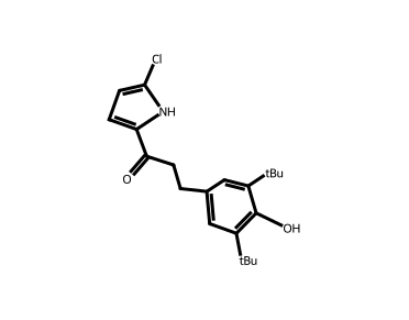 CC(C)(C)c1cc(CCC(=O)c2ccc(Cl)[nH]2)cc(C(C)(C)C)c1O